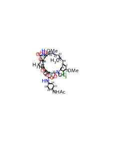 COc1cc2cc(c1Cl)N(C)C(=O)C[C@H](OC(=O)Nc1ccc(NC(C)=O)cc1)[C@]1(C)O[C@H]1[C@H](C)[C@@H]1C[C@@](O)(NC(=O)O1)[C@H](OC)/C=C/C=C(\C)C2